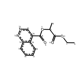 CCOC(=O)C(C)OC(=O)c1cnnc2ccccc12